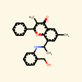 Cc1cc(C(C)Nc2ccccc2CO)c2oc(-c3ccccc3)c(C)c(=O)c2c1